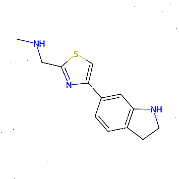 CNCc1nc(-c2ccc3c(c2)NCC3)cs1